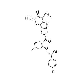 Cc1nc2c3c(nn2c(C)c1Cl)CN(C(=O)c1ccc(F)cc1OCC(O)c1ccc(F)cc1)C3